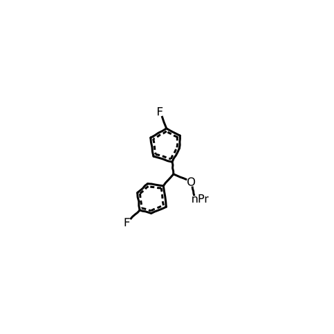 CCCOC(c1ccc(F)cc1)c1ccc(F)cc1